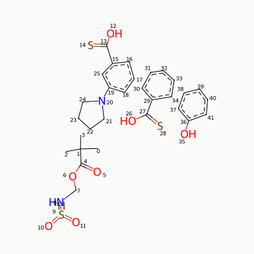 CC(C)(C)C(=O)OCN[SH](=O)=O.OC(=S)c1cccc(N2CCCC2)c1.OC(=S)c1ccccc1.Oc1ccccc1